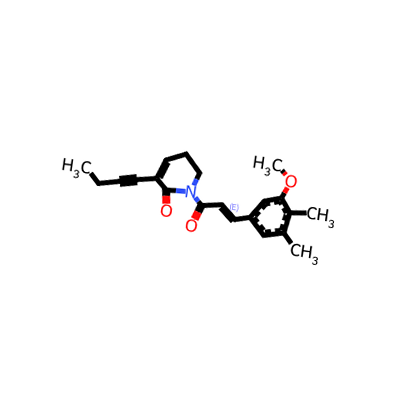 CCC#CC1=CCCN(C(=O)/C=C/c2cc(C)c(C)c(OC)c2)C1=O